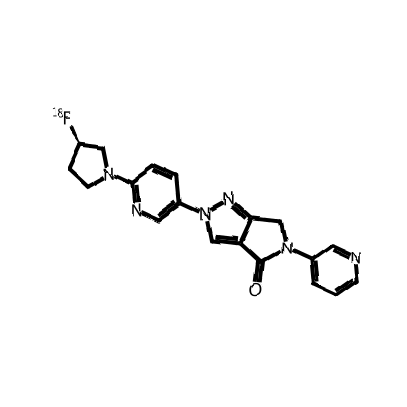 O=C1c2cn(-c3ccc(N4CC[C@@H]([18F])C4)nc3)nc2CN1c1cccnc1